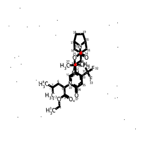 CCOC(=O)C(CC(C)C)n1cc(CCN2CC3CCC(C2)N3C(=O)OC(C)(C)C)c(C(F)(F)F)cc1=O